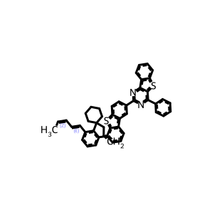 C=CCC1(c2c(/C=C/C=C\C)cccc2-c2cccc3c2sc2ccc(-c4nc(-c5ccccc5)c5sc6ccccc6c5n4)cc23)CCCCC1